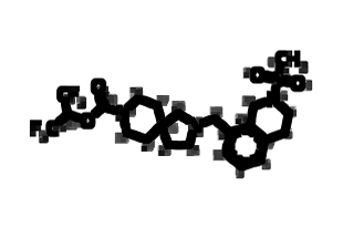 CS(=O)(=O)N1CCc2cccc(CN3CCC4(CCN(C(=O)OC(C(F)(F)F)C(F)(F)F)CC4)C3)c2C1